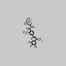 CC(CS(=O)(=O)CC(F)(F)F)NC(=O)c1ccc(/C(F)=C/C(c2cc(F)c(F)c(Cl)c2)C(F)(F)F)cc1C(F)(F)F